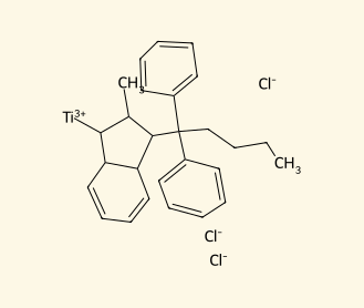 CCCCC(c1ccccc1)(c1ccccc1)C1C(C)[CH]([Ti+3])C2C=CC=CC21.[Cl-].[Cl-].[Cl-]